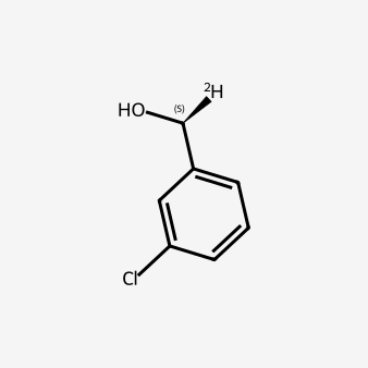 [2H][C@H](O)c1cccc(Cl)c1